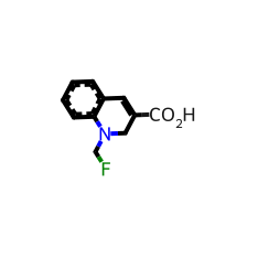 O=C(O)C1=Cc2ccccc2N(CF)C1